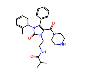 Cc1ccccc1-n1c(-c2ccccc2)c(C(=O)N2CCNCC2)n(CCNC(=O)C(C)C)c1=O